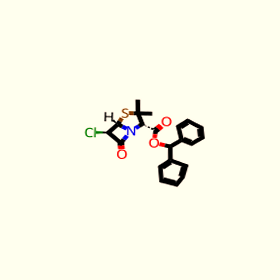 CC1(C)S[C@@H]2[C@H](Cl)C(=O)N2[C@H]1C(=O)OC(c1ccccc1)c1ccccc1